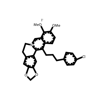 COc1ccc2c(CCCc3ccc(Cl)cc3)c3[n+](cc2c1OC)CCc1cc2c(cc1-3)OCO2.[I-]